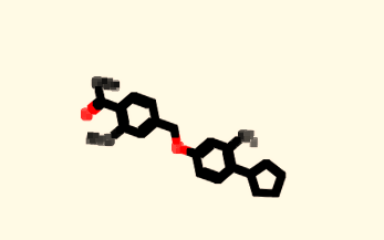 COC(=O)c1ccc(COc2ccc(C3CCCC3)c(C(F)(F)F)c2)cc1OC